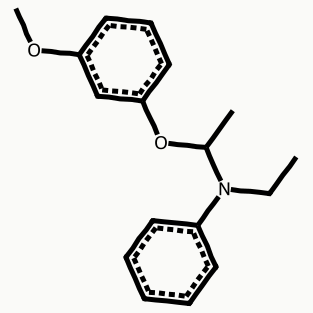 CCN(c1ccccc1)C(C)Oc1cccc(OC)c1